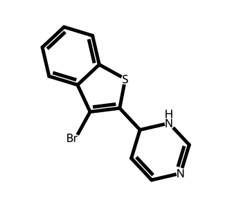 Brc1c(C2C=CN=CN2)sc2ccccc12